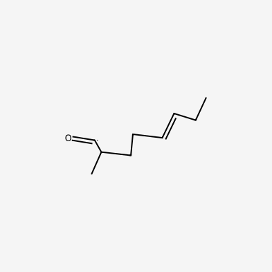 CCC=CCCC(C)[C]=O